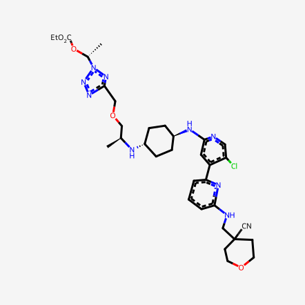 CCOC(=O)O[C@H](C)n1nnc(COC[C@H](C)N[C@H]2CC[C@H](Nc3cc(-c4cccc(NCC5(C#N)CCOCC5)n4)c(Cl)cn3)CC2)n1